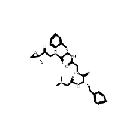 CN(C)CC(=O)N[C@@H](CCc1ccccc1)C(=O)NCC(=O)N[C@@H](Cc1ccccc1)C(=O)NCC(=O)[C@@]1(C)CO1